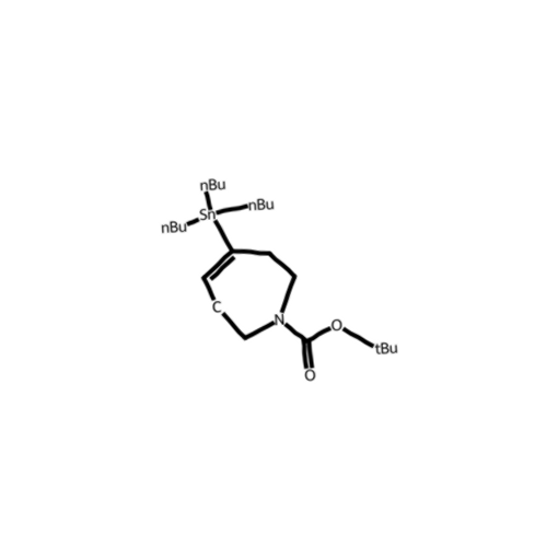 CCC[CH2][Sn]([CH2]CCC)([CH2]CCC)[C]1=CCCN(C(=O)OC(C)(C)C)CC1